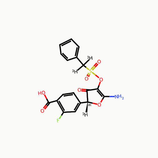 [2H]C([2H])(c1ccccc1)S(=O)(=O)OC1=C(N)O[C@]([2H])(c2ccc(C(=O)O)c(F)c2)C1=O